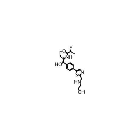 O=C(N[C@H](CF)[C@H](O)c1ccc(-c2cnc(CNCCO)s2)cc1)C(F)F